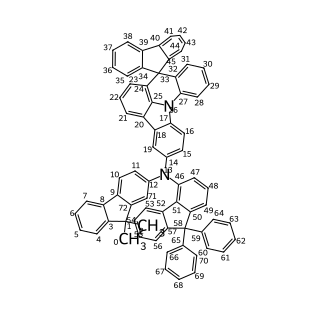 CC1(C)c2ccccc2-c2ccc(N(c3ccc4c(c3)c3cccc5c3n4-c3ccccc3C53c4ccccc4-c4ccccc43)c3cccc4c3-c3ccccc3C4(c3ccccc3)c3ccccc3)cc21